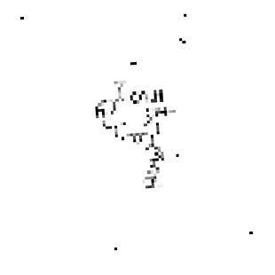 COc1ccc(-c2ccc(OCC(F)(F)F)nc2)c(OC2CCC(Oc3cc(C(CC(=O)O)C4CC4)ccn3)CC2)c1